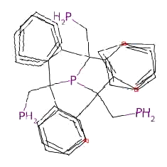 PCC(c1ccccc1)(c1ccccc1)P(C(CP)(c1ccccc1)c1ccccc1)C(CP)(c1ccccc1)c1ccccc1